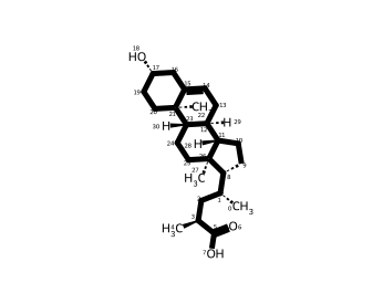 C[C@H](C[C@H](C)C(=O)O)[C@H]1CC[C@H]2[C@@H]3CC=C4C[C@@H](O)CC[C@]4(C)[C@H]3CC[C@]12C